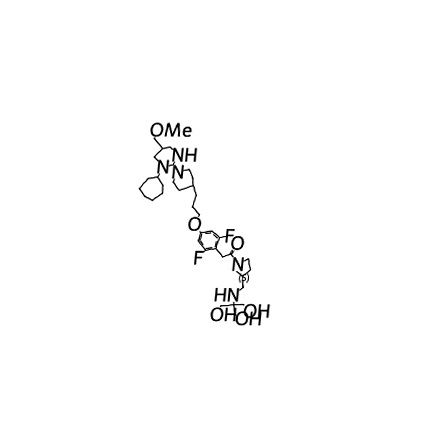 COCC1CNC(N2CCC(CCCOc3cc(F)c(CC(=O)N4CC[C@@H](CNC(CO)(CO)CO)C4)c(F)c3)CC2)N(C2CCCCCC2)C1